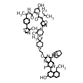 CCc1cccc2cc(O)cc(-c3ncc4c(N5CC6CCC(C5)N6)nc(OCCN5CCC(F)(CN6CCN(c7cc([C@H](C(=O)N8C[C@H](O)C[C@H]8C(=O)N[C@@H](C)c8ccc(-c9scnc9C)cc8)C(C)C)on7)C[C@@H]6C)CC5)nc4c3F)c12